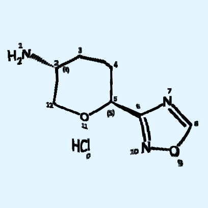 Cl.N[C@@H]1CC[C@@H](c2ncon2)OC1